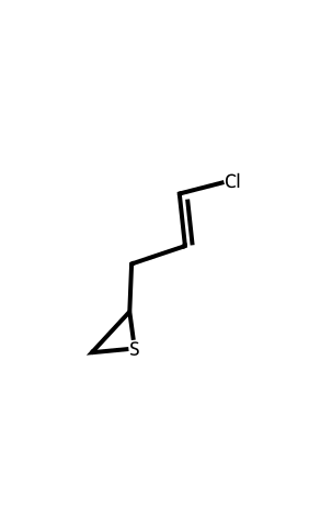 ClC=CCC1CS1